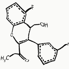 CC(=O)C1=C(c2cccc(F)c2)C(O)c2c(F)cccc2O1